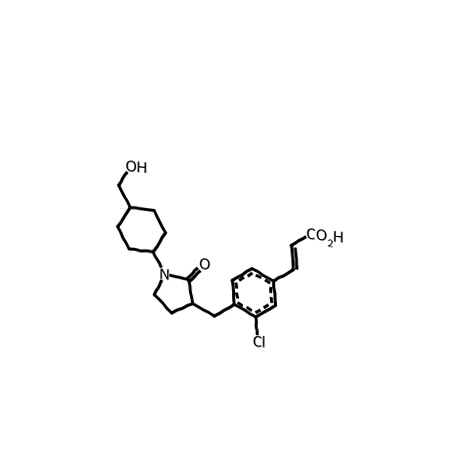 O=C(O)/C=C/c1ccc(CC2CCN(C3CCC(CO)CC3)C2=O)c(Cl)c1